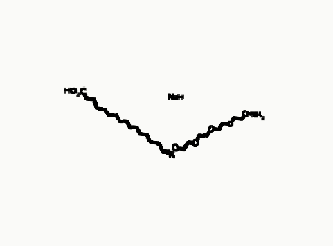 NOCCOCCOCCOCCO/N=C\CCCCCCCCCCCCCCC(=O)O.[NaH]